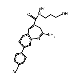 CCCN(CCCO)C(=O)C1=Cc2ccc(-c3ccc(C(C)=O)cc3)cc2N=C(N)C1